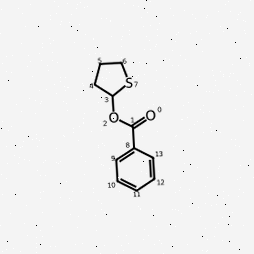 O=C(OC1CCCS1)c1ccccc1